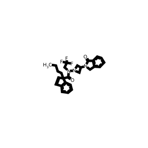 CCCCC1(C(=O)N(CC(F)(F)F)N2CC(N3Cc4ccccc4C3=O)C2)C=Cc2ccccc21